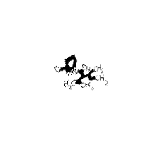 C=CC(C=C)C(C(=C)C)C(=C)Nc1cccc(Cl)c1